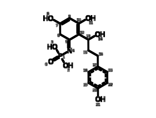 O=P(O)(O)N=C1CC(O)=CC(O)=C1C(O)CCc1ccc(O)cc1